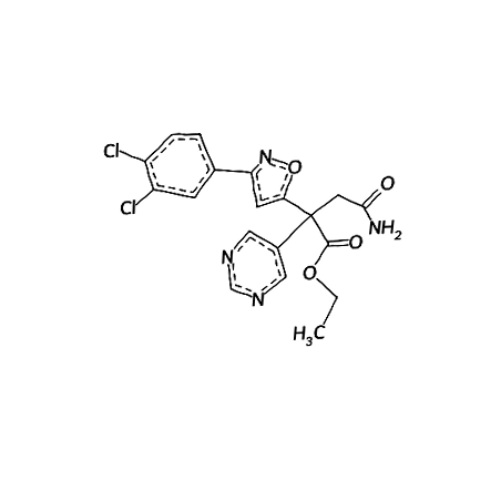 CCOC(=O)C(CC(N)=O)(c1cncnc1)c1cc(-c2ccc(Cl)c(Cl)c2)no1